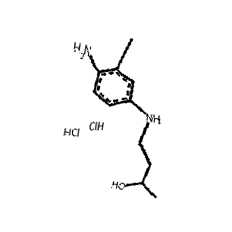 Cc1cc(NCCC(C)O)ccc1N.Cl.Cl